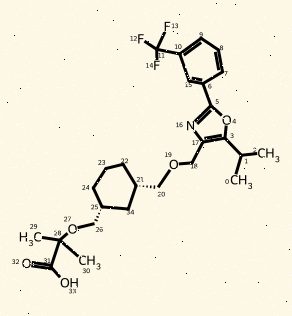 CC(C)c1oc(-c2cccc(C(F)(F)F)c2)nc1COC[C@H]1CCC[C@@H](COC(C)(C)C(=O)O)C1